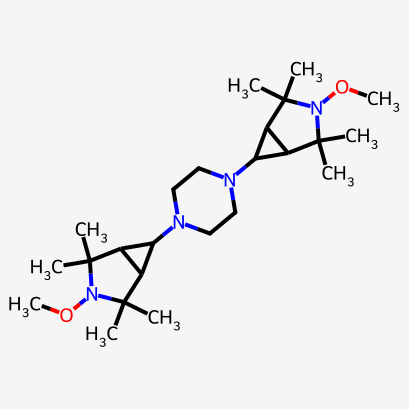 CON1C(C)(C)C2C(N3CCN(C4C5C4C(C)(C)N(OC)C5(C)C)CC3)C2C1(C)C